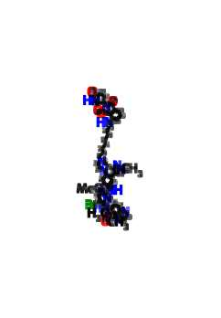 COc1cc(N2CCN(CCCCCCCCNc3cccc4c3C(=O)N(C3CCC(=O)NC3=O)C4=O)CC2)c(-c2cnn(C)c2)cc1Nc1ncc(Br)c(Nc2ccc3nccnc3c2P(C)(C)=O)n1